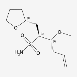 C=CC[C@@H](OC)[C@H](C[C@H]1CCCO1)S(N)(=O)=O